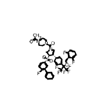 CC(=O)N1CCN(C(=O)N2C[C@H](c3ccc(C(OCc4c(F)cccc4F)(C(F)(F)F)C(F)(F)F)cc3)[C@@H](S(=O)(=O)c3ccc(F)c(-c4ccccc4)c3)C2)CC1